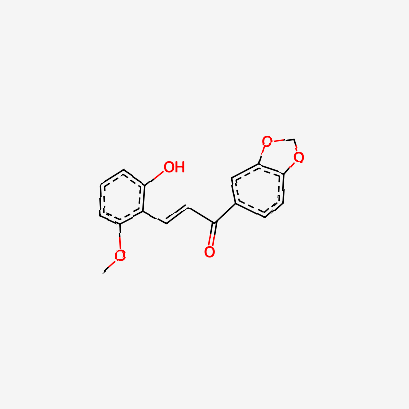 COc1cccc(O)c1C=CC(=O)c1ccc2c(c1)OCO2